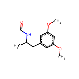 COc1cc(CC(C)NC=O)cc(OC)c1